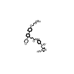 CCCCOCCOc1ccc(-c2ccc(N3CCOCC3)c(C=CC(=O)Nc3ccc([S@@+]([O-])Cc4cncn4CCC)cc3)c2)cc1